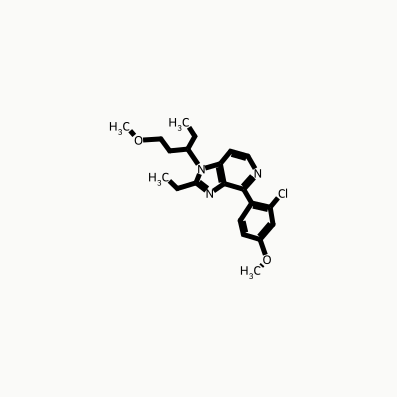 CCc1nc2c(-c3ccc(OC)cc3Cl)nccc2n1C(CC)CCOC